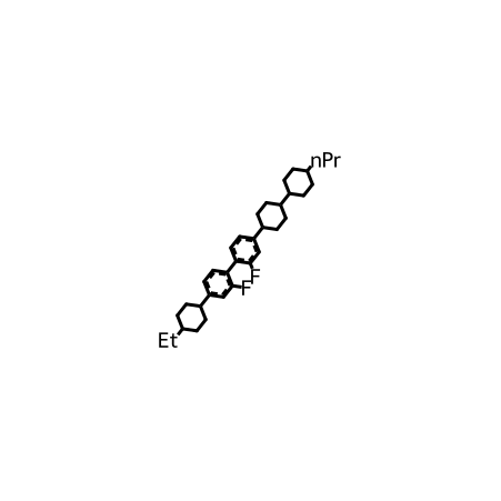 CCCC1CCC(C2CCC(c3ccc(-c4ccc(C5CCC(CC)CC5)cc4F)c(F)c3)CC2)CC1